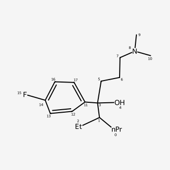 CCCC(CC)C(O)(CCCN(C)C)c1ccc(F)cc1